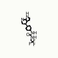 O=C(NCC(F)(F)F)Nc1ccc(-c2ccnc3[nH]ccc23)cc1